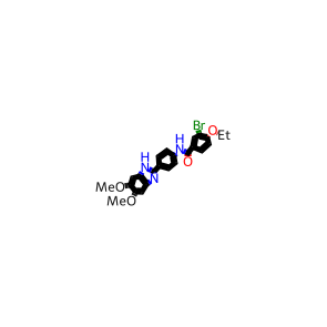 CCOc1ccc(C(=O)Nc2ccc(-c3nc4cc(OC)c(OC)cc4[nH]3)cc2)cc1Br